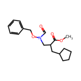 COC(=O)C(CC1CCCC1)CN(C=O)OCc1ccccc1